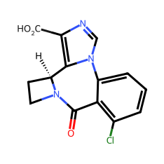 O=C(O)c1ncn2c1[C@@H]1CCN1C(=O)c1c(Cl)cccc1-2